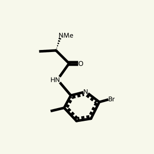 CN[C@@H](C)C(=O)Nc1nc(Br)ccc1C